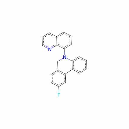 Fc1ccc2c(c1)-c1ccccc1N(c1cccc3cccnc13)C2